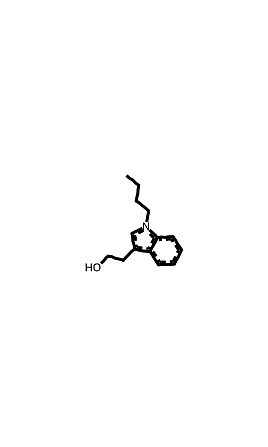 CCCCn1cc(CCO)c2ccccc21